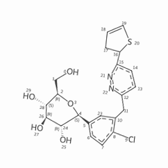 OC[C@H]1O[C@@H](c2ccc(Cl)c(Cc3ccc(C4CC=CS4)nn3)c2)[C@H](O)[C@@H](O)[C@@H]1O